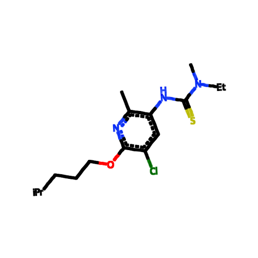 CCN(C)C(=S)Nc1cc(Cl)c(OCCCC(C)C)nc1C